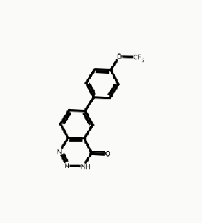 O=c1[nH]nnc2ccc(-c3ccc(OC(F)(F)F)cc3)cc12